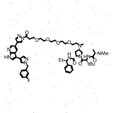 CC[C@@H](NC(=O)[C@@H]1C[C@H](N(C)CCOCCOCCOCCOCCC(=O)n2cc(-c3cnc4[nH]cc(-c5cnn(Cc6cccc(F)c6)c5)c4c3)cn2)CN1C(=O)[C@@H](NC(=O)[C@H](C)NC)C(C)(C)C)c1ccccc1